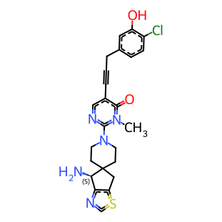 Cn1c(N2CCC3(CC2)Cc2scnc2[C@H]3N)ncc(C#CCc2ccc(Cl)c(O)c2)c1=O